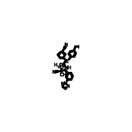 C[C@H](NC(c1cccc(-n2nccn2)c1)C(C)(C)C#N)[C@@H](Cc1ccc(CI)cc1)c1cccc(C#N)c1